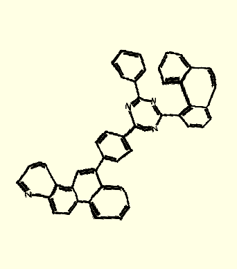 c1ccc(-c2nc(-c3ccc(-c4cc5c6cccnc6ccc5c5ccccc45)cc3)nc(-c3cccc4ccc5ccccc5c34)n2)cc1